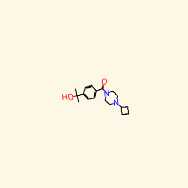 CC(C)(O)c1ccc(C(=O)N2CCN(C3CCC3)CC2)cc1